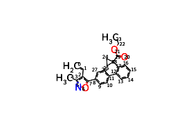 C=Cc1c(C)noc1-c1ccc(-c2ccccc2C2(C(=O)OCC)CC2)cc1